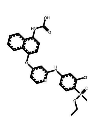 CCOP(C)(=O)c1ccc(Nc2cc(Oc3ccc(NC(=O)O)c4ccccc34)ccn2)cc1Cl